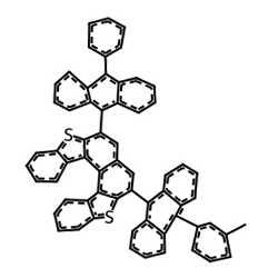 Cc1cccc(-c2c3ccccc3c(-c3cc4cc(-c5c6ccccc6c(-c6ccccc6)c6ccccc56)c5sc6ccccc6c5c4c4c3sc3ccccc34)c3ccccc23)c1